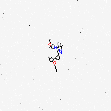 C=CCCCOc1ccc(C)cc1-c1cccc(-c2cc3c(N4CCC(C)(OCC=C)CC4)c(CC)c(C)cn3n2)c1